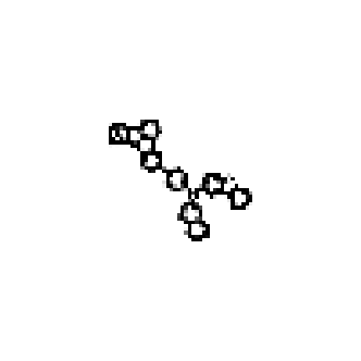 c1cc2c3c(c1)C1C4CC5CC(C4)C3(c3ccc(-c4ccc(N(c6ccc7ccccc7c6)c6ccc7sc8ccccc8c7c6)cc4)cc3-2)C1C5